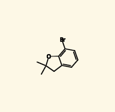 CC1(C)Cc2cccc(Br)c2O1